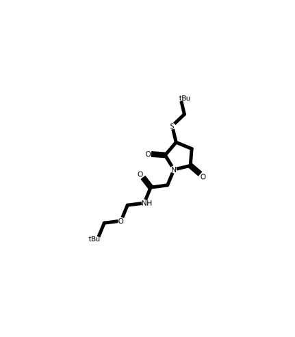 CC(C)(C)COCNC(=O)CN1C(=O)CC(SCC(C)(C)C)C1=O